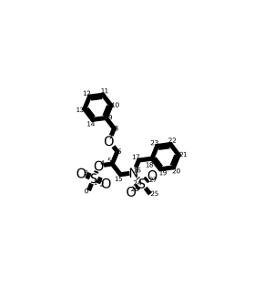 CS(=O)(=O)OC(COCc1ccccc1)CN(Cc1ccccc1)S(C)(=O)=O